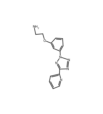 NCCOc1cccc(-n2nnc(-c3ccccn3)n2)c1